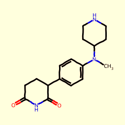 CN(c1ccc(C2CCC(=O)NC2=O)cc1)C1CCNCC1